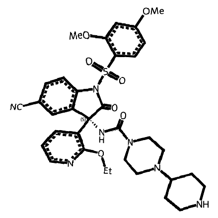 CCOc1ncccc1[C@]1(NC(=O)N2CCN(C3CCNCC3)CC2)C(=O)N(S(=O)(=O)c2ccc(OC)cc2OC)c2ccc(C#N)cc21